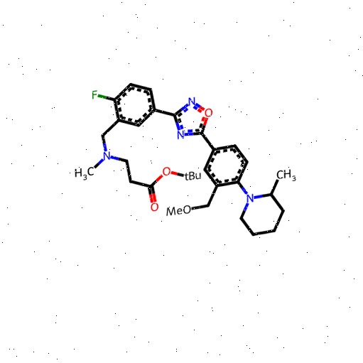 COCc1cc(-c2nc(-c3ccc(F)c(CN(C)CCC(=O)OC(C)(C)C)c3)no2)ccc1N1CCCCC1C